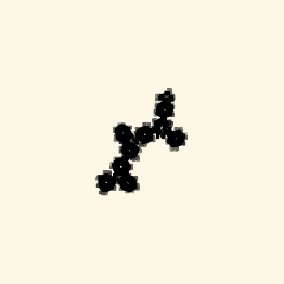 C[Si](C)(C)c1ccc(-c2cc(-c3ccc(-n4c5ccccc5c5cc(-c6ccc7c(c6)c6ccccc6n7-c6ccccc6)ccc54)cc3)nc(-c3ccccc3)n2)cc1